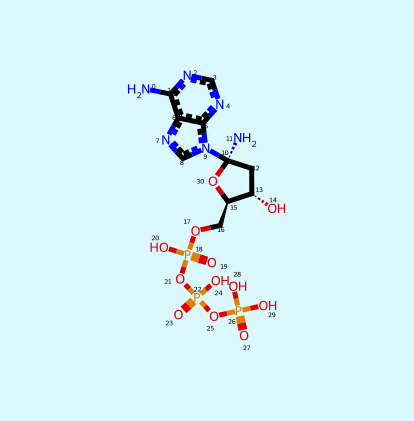 Nc1ncnc2c1ncn2[C@@]1(N)C[C@H](O)[C@@H](COP(=O)(O)OP(=O)(O)OP(=O)(O)O)O1